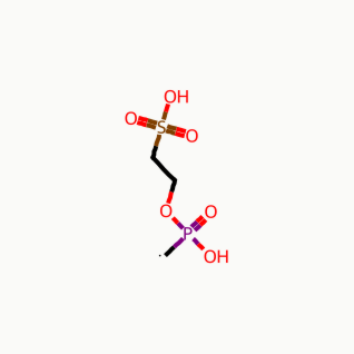 [CH2]P(=O)(O)OCCS(=O)(=O)O